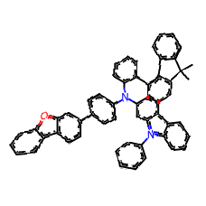 CC1(C)c2ccccc2-c2c(-c3ccccc3N(c3ccc(-c4ccc5c(c4)oc4ccccc45)cc3)c3ccc4c5ccccc5n(-c5ccccc5)c4c3)cccc21